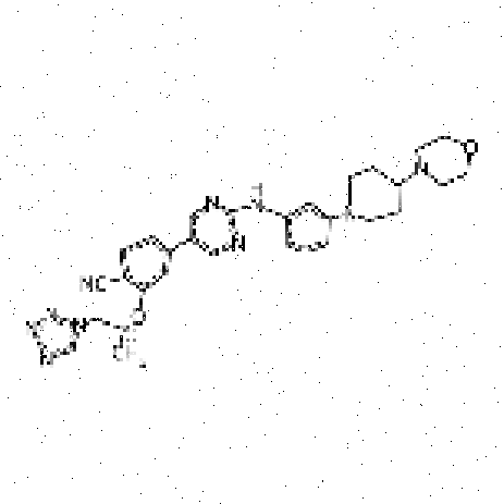 C[C@@H](Cn1cnnn1)Oc1cc(-c2cnc(Nc3cccc(N4CCC(N5CCOCC5)CC4)c3)nc2)ccc1C#N